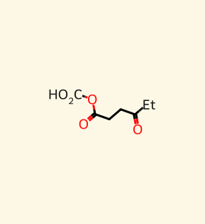 CCC(=O)CCC(=O)OC(=O)O